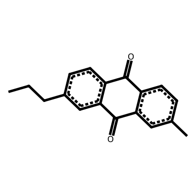 CCCc1ccc2c(c1)C(=O)c1cc(C)ccc1C2=O